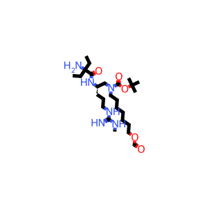 CCC(N)(CC)C(=O)N[C@@H](CCCNC(=N)NC)CN(CCCCCCCOC=O)C(=O)OC(C)(C)C